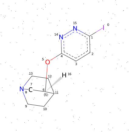 Ic1ccc(O[C@@H]2CN3CCC2CC3)nn1